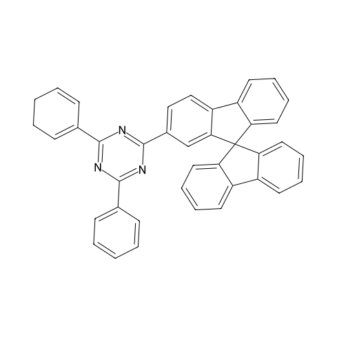 C1=CC(c2nc(-c3ccccc3)nc(-c3ccc4c(c3)C3(c5ccccc5-c5ccccc53)c3ccccc3-4)n2)=CCC1